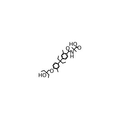 CCC(O)(CC)COc1ccc(C(CC)(CC)c2ccc(C(=O)NC(C)(C)C(=O)O)c(C)c2)cc1C